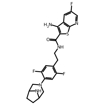 Nc1c(C(=O)NCCc2cc(F)c(N3CC4CCC(C3)N4)cc2F)sc2ncc(F)cc12